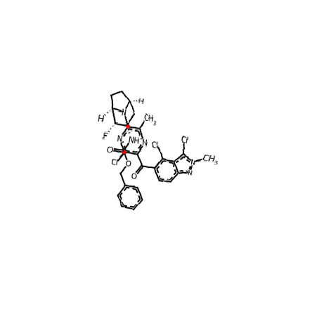 Cc1nc(C(=O)c2ccc3nn(C)c(Cl)c3c2Cl)c(Cl)nc1N1[C@H]2CC[C@@H]1[C@@H](F)[C@@H](NC(=O)OCc1ccccc1)C2